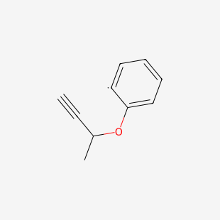 C#CC(C)Oc1[c]cccc1